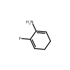 NC1=CCCC=C1F